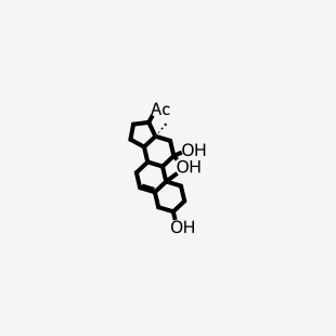 CC(=O)C1CCC2C3CC=C4CC(O)CCC4(C)C3C(O)(O)C[C@]12C